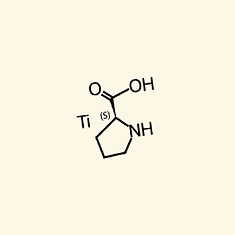 O=C(O)[C@@H]1CCCN1.[Ti]